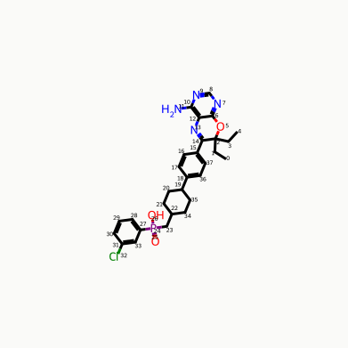 CCC1(CC)Oc2ncnc(N)c2N=C1c1ccc(C2CCC(CP(=O)(O)c3cccc(Cl)c3)CC2)cc1